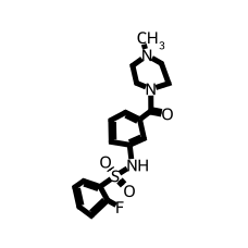 CN1CCN(C(=O)c2cccc(NS(=O)(=O)c3ccccc3F)c2)CC1